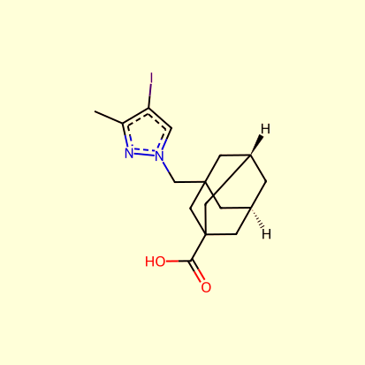 Cc1nn(CC23C[C@H]4C[C@@H](C2)CC(C(=O)O)(C4)C3)cc1I